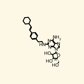 Nc1nc(NCCc2ccc(C=CC3CCCCC3)cc2)nc2c1ncn2[C@@H]1O[C@H](CO)C(O)C1O